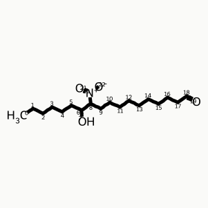 CCCCCCC(O)C(CCCCCCCCCC=O)[N+](=O)[O-]